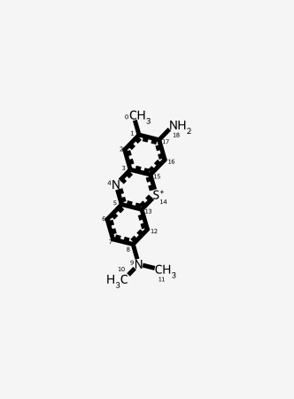 Cc1cc2nc3ccc(N(C)C)cc3[s+]c2cc1N